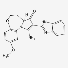 COc1ccc2c(c1)N1C(N)=C(c3nc4ccccc4[nH]3)C(=O)[C@@H]1CCO2